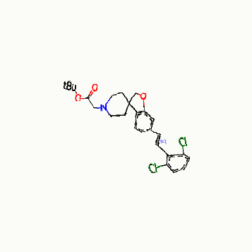 CC(C)(C)OC(=O)CN1CCC2(CC1)COc1cc(/C=C/c3c(Cl)cccc3Cl)ccc12